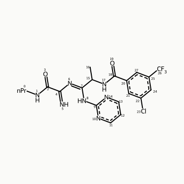 CCCNC(=O)C(=N)/N=C(\Nc1ncccn1)C(C)NC(=O)c1cc(Cl)cc(C(F)(F)F)c1